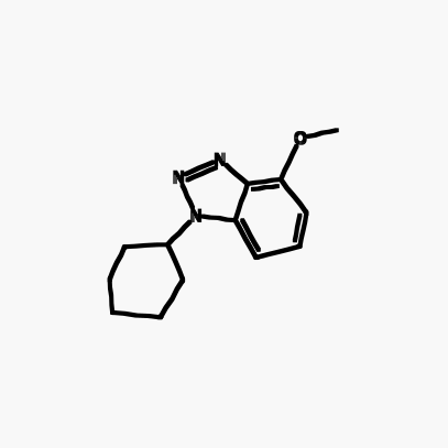 COc1cccc2c1nnn2C1CCCCC1